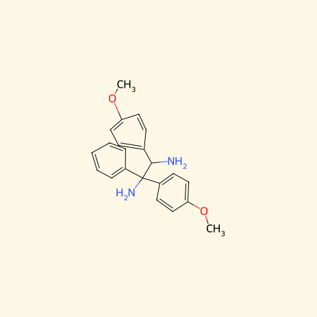 COc1ccc(C(N)C(N)(c2ccccc2)c2ccc(OC)cc2)cc1